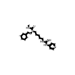 CNC(=S)N(CCCCCNC(=N)Nc1ccncc1)OCC1CCCCC1